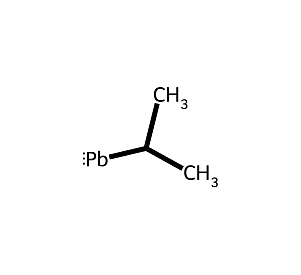 C[CH](C)[Pb]